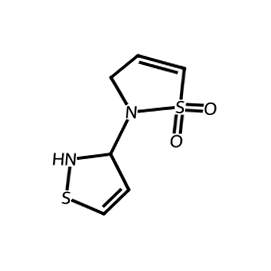 O=S1(=O)C=CCN1C1C=CSN1